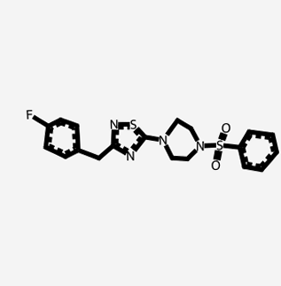 O=S(=O)(c1ccccc1)N1CCN(c2nc(Cc3ccc(F)cc3)ns2)CC1